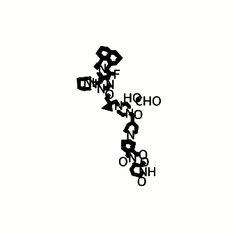 C#Cc1cccc2cccc(-c3ncc4c(N5CC6CCC(C5)N6)nc(OCC5(CN6CCN(C(=O)C7CCN(c8ccc9c(c8)C(=O)N(C8CCC(=O)NC8=O)C9=O)CC7)CC6)CC5)nc4c3F)c12.O=CO